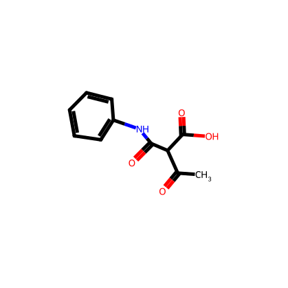 CC(=O)C(C(=O)O)C(=O)Nc1ccccc1